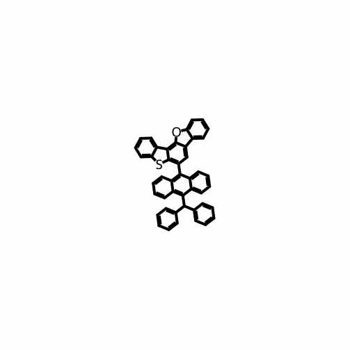 c1ccc(C(c2ccccc2)c2c3ccccc3c(-c3cc4c5ccccc5oc4c4c3sc3ccccc34)c3ccccc23)cc1